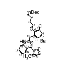 CCCCCCCCCCCCCCOc1c(Cl)cccc1CC(=O)Nc1ccccc1C[n+]1cscc1C.[Br-]